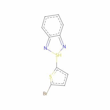 Brc1ccc([SH]2N=c3ccccc3=N2)s1